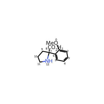 COc1ccccc1[C@@]1(C(=O)O)CCCN1